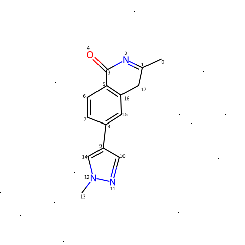 CC1=NC(=O)c2ccc(-c3cnn(C)c3)cc2C1